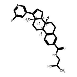 CC(O)CNC(=O)c1ccc2c(c1)CC[C@@H]1[C@@H]2CC[C@]2(C)C(c3cncc(F)c3)=CC[C@@H]12